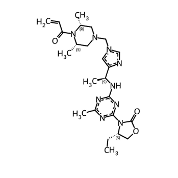 C=CC(=O)N1[C@H](C)CN(Cn2cnc([C@H](C)Nc3nc(C)nc(N4C(=O)OC[C@@H]4CC)n3)c2)C[C@@H]1C